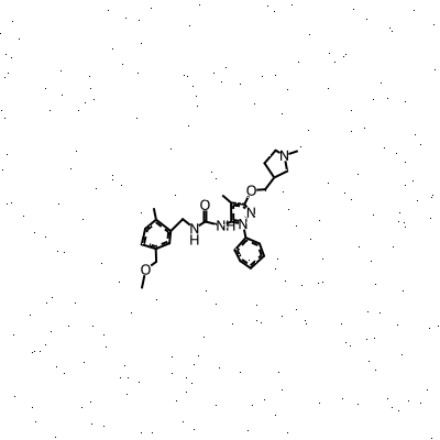 COCc1ccc(C)c(CNC(=O)Nc2c(C)c(OCC3CCN(C)C3)nn2-c2ccccc2)c1